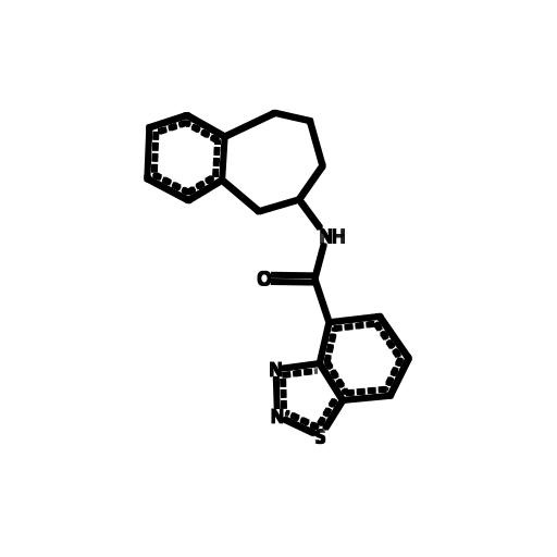 O=C(NC1CCCc2ccccc2C1)c1cccc2snnc12